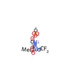 COC(=O)C(Cc1ccc(C(F)(F)F)cc1)NC(=O)[C@H](Cc1ccc(OCCOS(=O)(=O)c2ccc(C)cc2)cc1)N=[N+]=[N-]